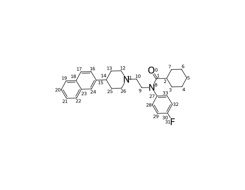 O=C(C1CCCCC1)N(CCN1CCC(c2ccc3ccccc3c2)CC1)c1ccc(F)cc1